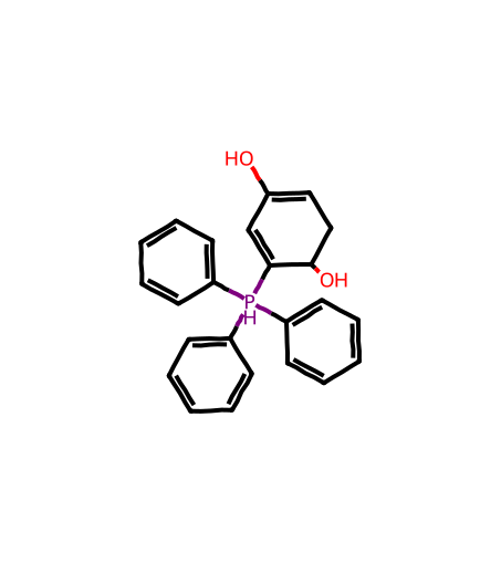 OC1=CCC(O)C([PH](c2ccccc2)(c2ccccc2)c2ccccc2)=C1